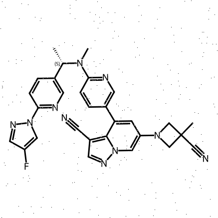 C[C@@H](c1ccc(-n2cc(F)cn2)nc1)N(C)c1ccc(-c2cc(N3CC(C)(C#N)C3)cn3ncc(C#N)c23)cn1